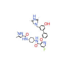 Cc1cc(C(=O)N[C@H]2CC[C@H](NC(=O)c3cc(F)cnc3Oc3cccc(-c4cc(O)cc(CN5C[C@@H](C)N[C@@H](C)C5)c4)c3)CC2)nn1C